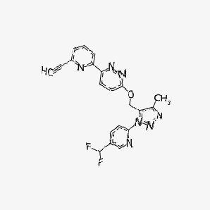 C#Cc1cccc(-c2ccc(OCc3c(C)nnn3-c3ccc(C(F)F)cn3)nn2)n1